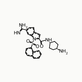 N=C(N)c1ccc2cc(C(=O)N[C@H]3CC[C@H](N)CC3)n(S(=O)(=O)c3cccc4ccccc34)c2c1